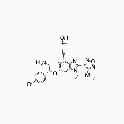 CCn1c(-c2nonc2N)nc2c(C#CC(C)(C)O)nc(OC(CN)c3ccc(Cl)cc3)cc21